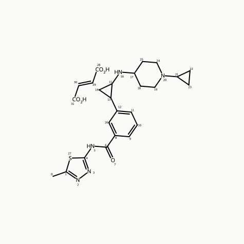 Cc1nnc(NC(=O)c2cccc(C3CC3NC3CCN(C4CC4)CC3)c2)s1.O=C(O)C=CC(=O)O